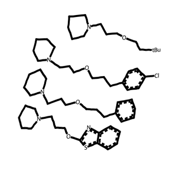 CC(C)(C)CCOCCCN1CCCCC1.Clc1ccc(CCCOCCCN2CCCCC2)cc1.c1ccc(CCCOCCCN2CCCCC2)cc1.c1ccc2sc(OCCCN3CCCCC3)nc2c1